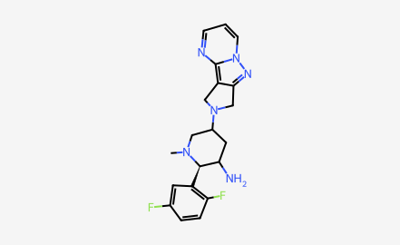 CN1CC(N2Cc3nn4cccnc4c3C2)CC(N)[C@H]1c1cc(F)ccc1F